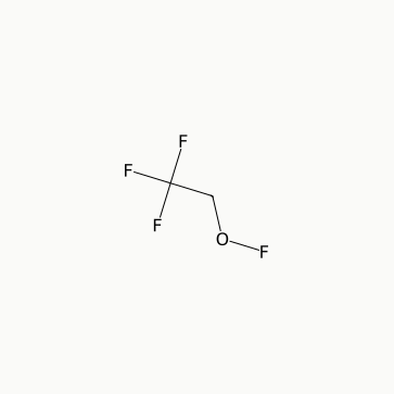 FOCC(F)(F)F